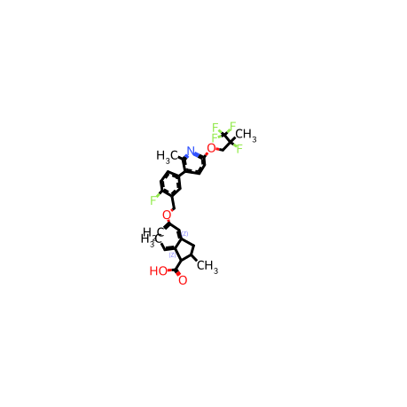 C=C(/C=C1/CC(C)C(C(=O)O)/C1=C/C)OCc1cc(-c2ccc(OCC(C)(F)C(F)(F)F)nc2C)ccc1F